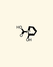 O=C(O)[n+]1ccccc1O